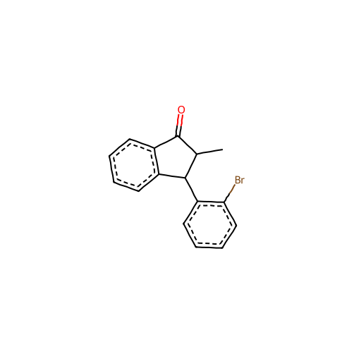 CC1C(=O)c2ccccc2C1c1ccccc1Br